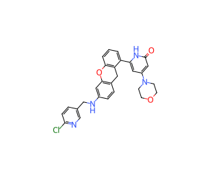 O=c1cc(N2CCOCC2)cc(-c2cccc3c2Cc2ccc(NCc4ccc(Cl)nc4)cc2O3)[nH]1